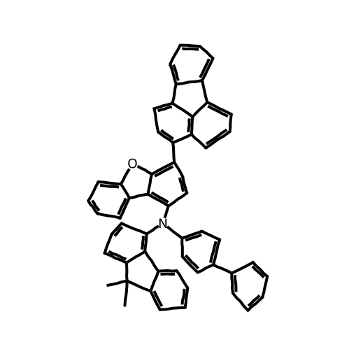 CC1(C)c2ccccc2-c2c(N(c3ccc(-c4ccccc4)cc3)c3ccc(-c4ccc5c6c(cccc46)-c4ccccc4-5)c4oc5ccccc5c34)cccc21